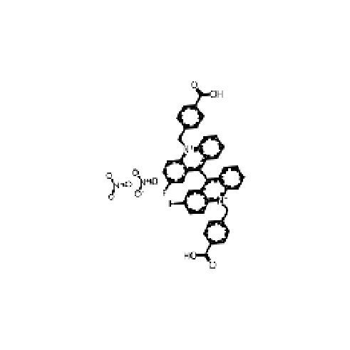 O=C(O)c1ccc(C[n+]2c3ccccc3c(-c3c4ccccc4[n+](Cc4ccc(C(=O)O)cc4)c4ccc(F)cc34)c3cc(F)ccc32)cc1.O=[N+]([O-])[O-].O=[N+]([O-])[O-]